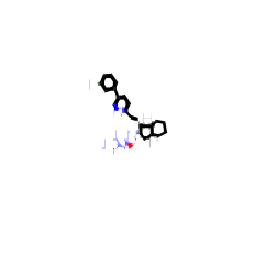 CNC(=O)N[C@H]1C[C@H]2CCCC[C@H]2[C@@H]1C=Cc1ccc(-c2cccc(F)c2)cn1